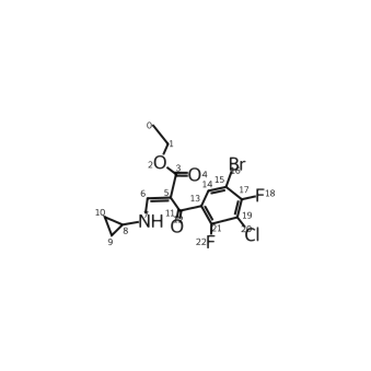 CCOC(=O)/C(=C/NC1CC1)C(=O)c1cc(Br)c(F)c(Cl)c1F